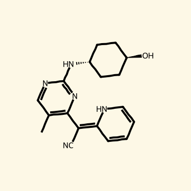 Cc1cnc(N[C@H]2CC[C@H](O)CC2)nc1/C(C#N)=C1/C=CC=CN1